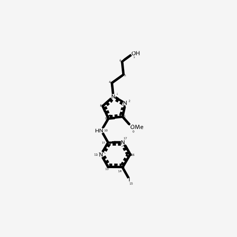 COc1nn(CCCO)cc1Nc1ncc(I)cn1